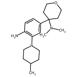 CC1CCN(c2cc(C3(N(C)C)CCOCC3)ccc2N)CC1